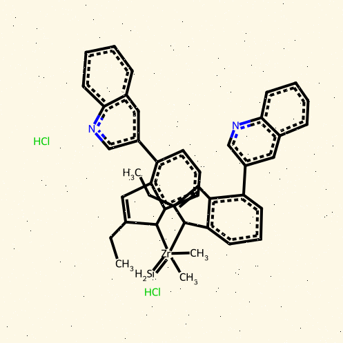 CCC1=Cc2c(-c3cnc4ccccc4c3)cccc2[CH]1[Zr]([CH3])([CH3])(=[SiH2])[CH]1C(CC)=Cc2c(-c3cnc4ccccc4c3)cccc21.Cl.Cl